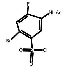 CC(=O)Nc1cc(S(=O)(=O)Cl)c(Br)cc1F